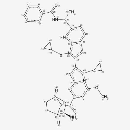 COc1cc(C(=O)N2[C@H]3CC[C@@H]2[C@H](N)C3)cc2nc(-c3cc4ccc([C@@H](C)NC(=O)c5ccccc5)nc4n3CC3CC3)c(C3CC3)n12